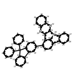 c1ccc(C2(c3ccccc3)c3ccccc3-c3cc(-c4ccc5c6ccccc6n6c7nc8ccccc8nc7c4c56)ccc32)cc1